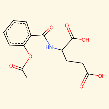 CC(=O)Oc1ccccc1C(=O)NC(CCC(=O)O)C(=O)O